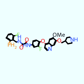 COc1cc2c(Oc3ccc(NC(=O)C(=O)NCc4c(F)cccc4P)cc3F)ccnc2cc1OCC1CCNCC1